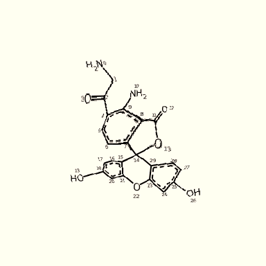 NCC(=O)c1ccc2c(c1N)C(=O)OC21c2ccc(O)cc2Oc2cc(O)ccc21